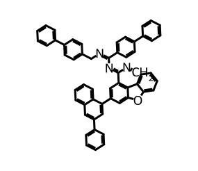 C=N/C(=N\C(=N/Cc1ccc(-c2ccccc2)cc1)c1ccc(-c2ccccc2)cc1)c1cc(-c2cc(-c3ccccc3)cc3ccccc23)cc2oc3ccccc3c12